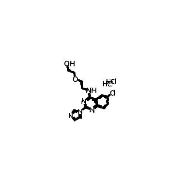 Cl.Cl.OCCOCCNc1nc(-n2ccnc2)nc2ccc(Cl)cc12